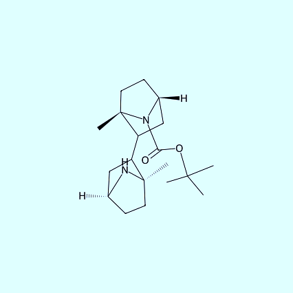 CC(C)(C)OC(=O)N1[C@@H]2CC[C@@]1(C)C(C1C[C@@H]3CC[C@@]1(C)N3)C2